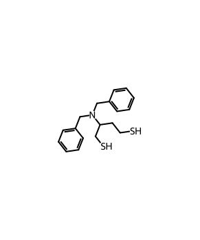 SCCC(CS)N(Cc1ccccc1)Cc1ccccc1